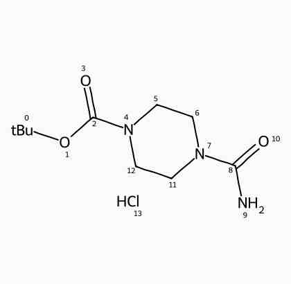 CC(C)(C)OC(=O)N1CCN(C(N)=O)CC1.Cl